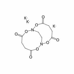 O=C1CCC(=O)ON2CCN(O1)OC(=O)CCC(=O)O2.[K].[K].[K]